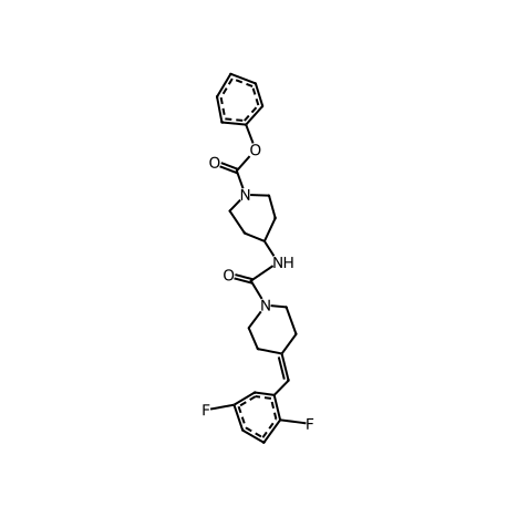 O=C(NC1CCN(C(=O)Oc2ccccc2)CC1)N1CCC(=Cc2cc(F)ccc2F)CC1